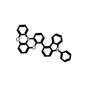 c1ccc(-n2c3ccccc3c3c(-c4cccc5c4Oc4cccc6c4B5c4ccccc4O6)cccc32)cc1